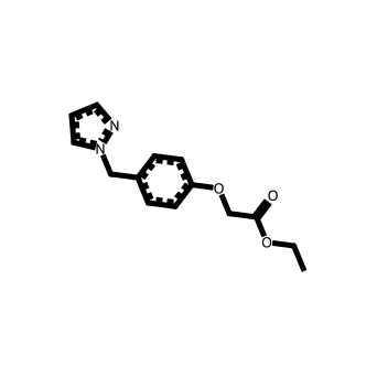 CCOC(=O)COc1ccc(Cn2cccn2)cc1